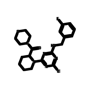 O=C(C1CCCCN1c1nc(Cl)nc(NCc2cccc(F)c2)n1)N1CCOCC1